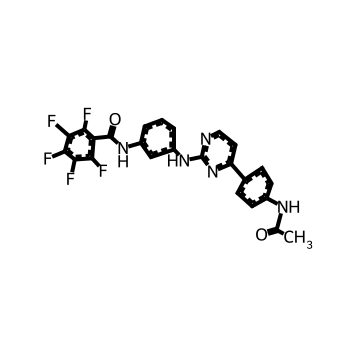 CC(=O)Nc1ccc(-c2ccnc(Nc3cccc(NC(=O)c4c(F)c(F)c(F)c(F)c4F)c3)n2)cc1